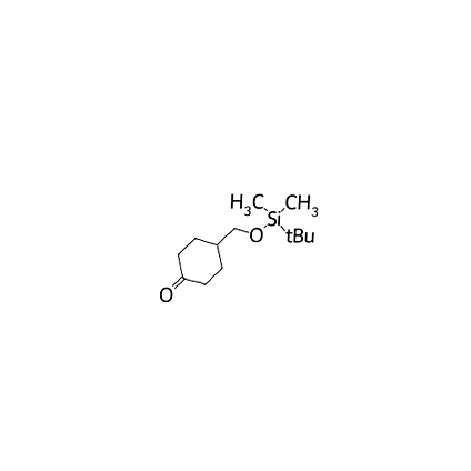 CC(C)(C)[Si](C)(C)OCC1CCC(=O)CC1